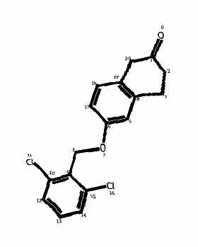 O=C1CCc2cc(OCc3c(Cl)cccc3Cl)ccc2C1